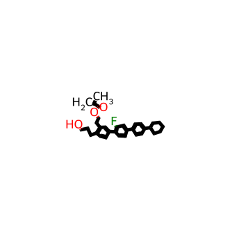 C=C(C)C(=O)OCCc1cc(-c2ccc(-c3ccc(C4CCCCC4)cc3)cc2F)ccc1CCCO